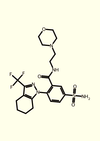 NS(=O)(=O)c1ccc(-n2nc(C(F)(F)F)c3c2CCCC3)c(C(=O)NCCN2CCOCC2)c1